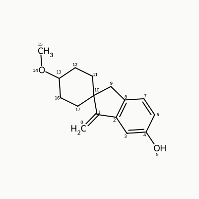 C=C1c2cc(O)ccc2CC12CCC(OC)CC2